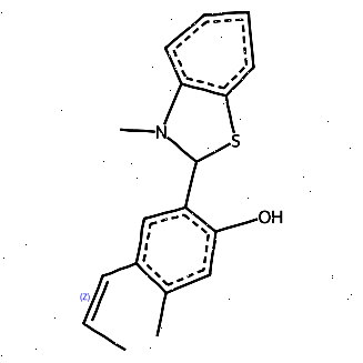 C/C=C\c1cc(C2Sc3ccccc3N2C)c(O)cc1C